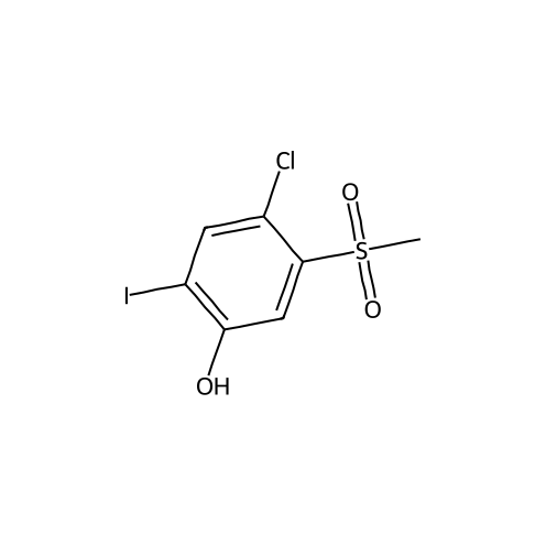 CS(=O)(=O)c1cc(O)c(I)cc1Cl